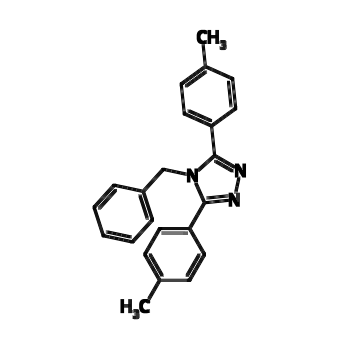 Cc1ccc(-c2nnc(-c3ccc(C)cc3)n2Cc2ccccc2)cc1